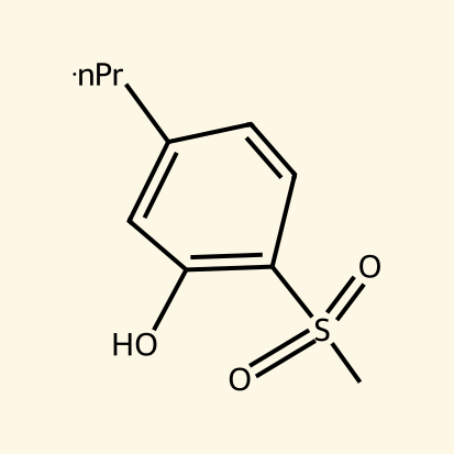 CC[CH]c1ccc(S(C)(=O)=O)c(O)c1